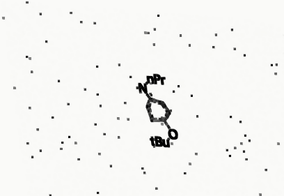 CCC[N]c1ccc(OC(C)(C)C)cc1